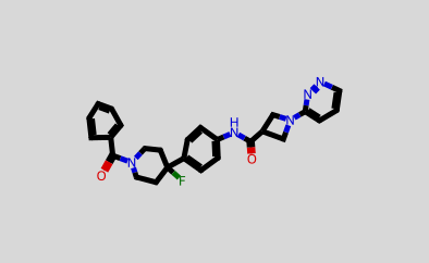 O=C(Nc1ccc(C2(F)CCN(C(=O)c3ccccc3)CC2)cc1)C1CN(c2cccnn2)C1